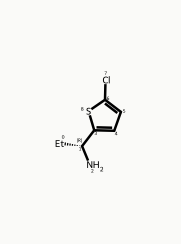 CC[C@@H](N)c1ccc(Cl)s1